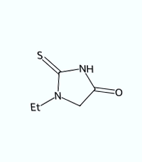 CCN1CC(=O)NC1=S